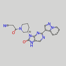 N#CCC(=O)N1CCC[C@H](n2c(=O)[nH]c3cnc(-c4cnn5ccccc45)nc32)C1